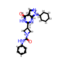 O=C(Nc1ccccc1)N1CC(c2nc3c(cnn3C3CCCCC3)c(=O)[nH]2)C1